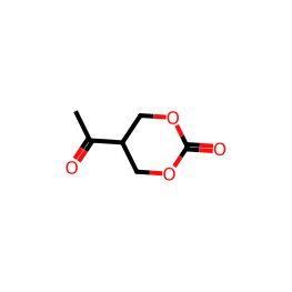 CC(=O)C1COC(=O)OC1